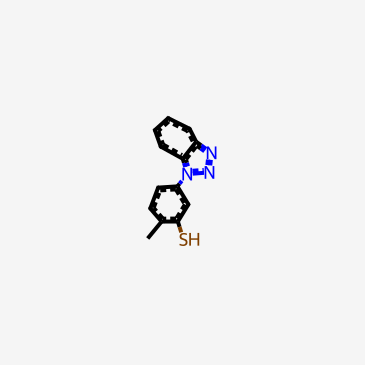 Cc1ccc(-n2nnc3ccccc32)cc1S